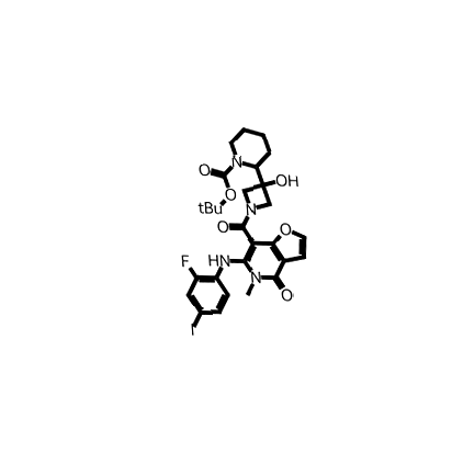 Cn1c(Nc2ccc(I)cc2F)c(C(=O)N2CC(O)(C3CCCCN3C(=O)OC(C)(C)C)C2)c2occc2c1=O